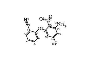 N#Cc1ccccc1Oc1cc(F)cc(N)c1[N+](=O)[O-]